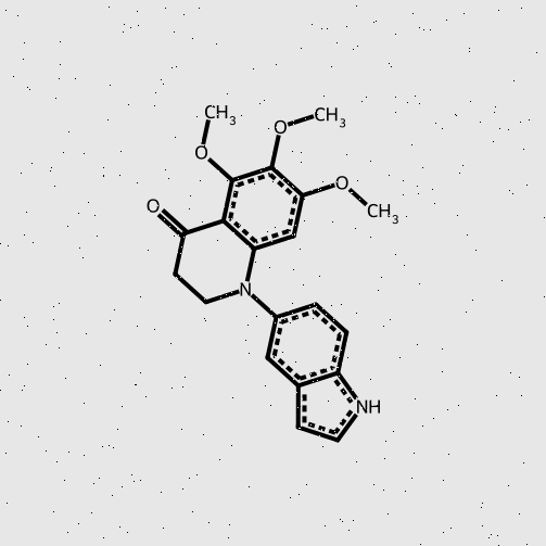 COc1cc2c(c(OC)c1OC)C(=O)CCN2c1ccc2[nH]ccc2c1